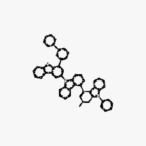 CC1C=C(c2cccc3c2c2ccccc2n3-c2cc(-c3cccc(-c4ccccc4)c3)c3sc4ccccc4c3c2)c2c(n(-c3ccccc3)c3ccccc23)C1